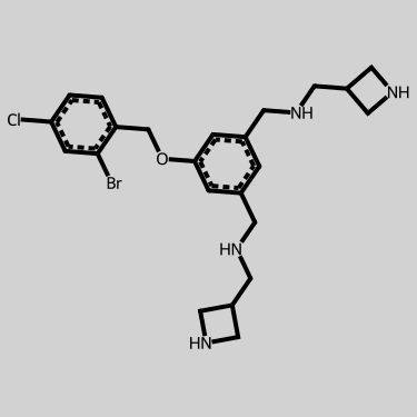 Clc1ccc(COc2cc(CNCC3CNC3)cc(CNCC3CNC3)c2)c(Br)c1